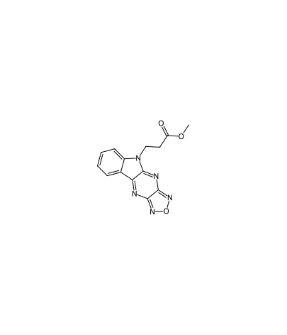 COC(=O)CCn1c2ccccc2c2nc3nonc3nc21